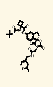 C/C=C(/CNC(=O)CN1C(=O)O[C@@]2(CCc3cc(NC(=O)C4(NC(=O)OC(C)(C)C)CCC4)ccc32)C1=O)CC(C)F